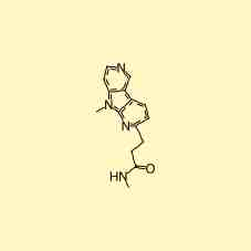 CNC(=O)CCc1ccc2c3cnccc3n(C)c2n1